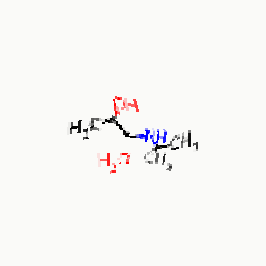 CC(O)CNC(C)C.O